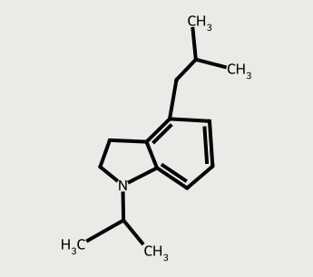 CC(C)Cc1cccc2c1CCN2C(C)C